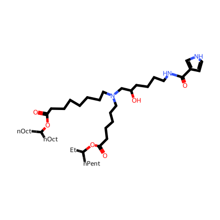 CCCCCCCCC(CCCCCCCC)OC(=O)CCCCCCCN(CCCCCC(=O)OC(CC)CCCCC)CC(O)CCCCNC(=O)c1cc[nH]c1